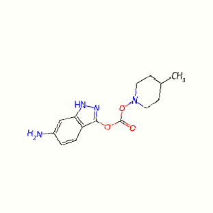 CC1CCN(OC(=O)Oc2n[nH]c3cc(N)ccc23)CC1